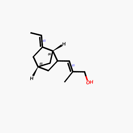 C/C=C1\C[C@H]2CC(/C=C(\C)CO)[C@@H]1C2